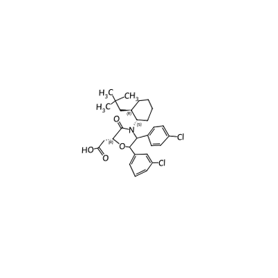 CC(C)(C)C[C@H]1CCCC[C@@H]1N1C(=O)[C@@H](CC(=O)O)OC(c2cccc(Cl)c2)C1c1ccc(Cl)cc1